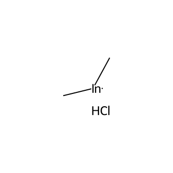 Cl.[CH3][In][CH3]